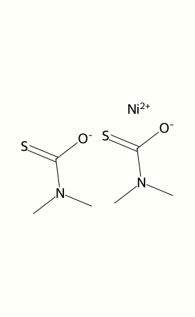 CN(C)C([O-])=S.CN(C)C([O-])=S.[Ni+2]